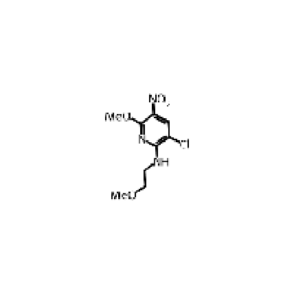 COCCNc1nc(OC)c([N+](=O)[O-])cc1Cl